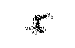 COCCOc1cc2[nH]c(-c3nn(COCC[Si](C)(C)C)c4c3C[C@@H]3C[C@]3(C)C4)nc2cc1N(C)C(=O)[C@H](C)N1CCOCC1